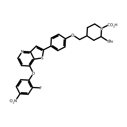 CC(C)(C)C1CC(COc2ccc(-c3cc4nccc(Oc5ccc([N+](=O)[O-])cc5F)c4s3)cc2)CCN1C(=O)O